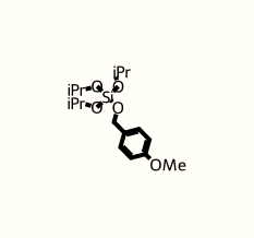 COc1ccc(CO[Si](OC(C)C)(OC(C)C)OC(C)C)cc1